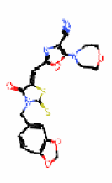 N#Cc1nc(C=C2SC(=S)N(Cc3ccc4c(c3)OCO4)C2=O)oc1N1CCOCC1